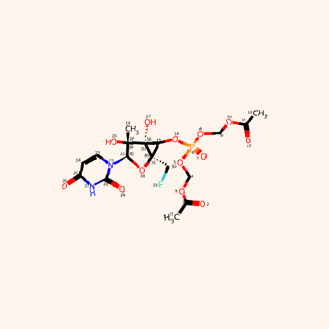 CC(=O)OCOP(=O)(OCOC(C)=O)OC1[C@]2(O)[C@@](C)(O)[C@H](n3ccc(=O)[nH]c3=O)O[C@]12CF